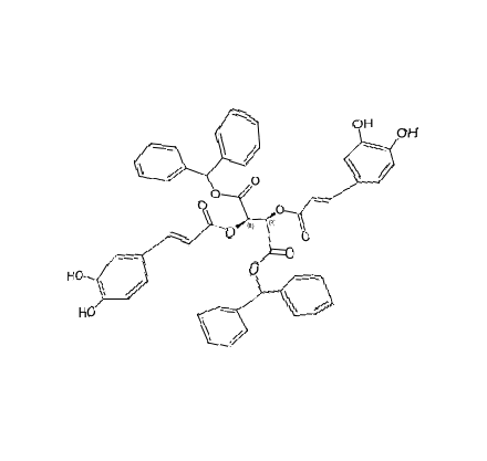 O=C(C=Cc1ccc(O)c(O)c1)O[C@@H](C(=O)OC(c1ccccc1)c1ccccc1)[C@@H](OC(=O)C=Cc1ccc(O)c(O)c1)C(=O)OC(c1ccccc1)c1ccccc1